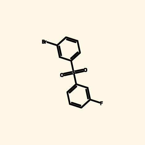 O=S(=O)(c1cccc(F)c1)c1cccc(Br)c1